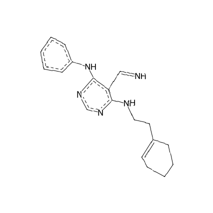 N=Cc1c(NCCC2=CCCCC2)ncnc1Nc1ccccc1